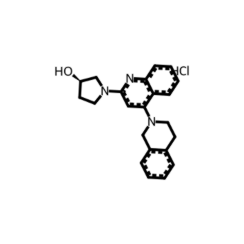 Cl.O[C@@H]1CCN(c2cc(N3CCc4ccccc4C3)c3ccccc3n2)C1